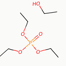 CCO.CCOP(=O)(OCC)OCC